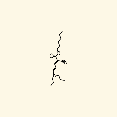 CCCCCCOC(=O)/C(C#N)=C/C=C/N(CCC)CCC